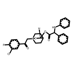 O=C(C[N+]12CCC(CC1)[C@@H](OC(=O)C(Nc1ccccc1)c1ccccc1)C2)c1ccc(F)c(Cl)c1